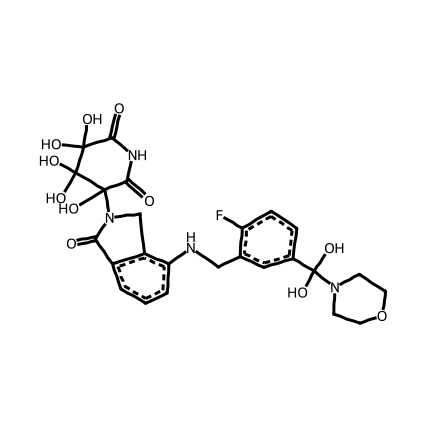 O=C1c2cccc(NCc3cc(C(O)(O)N4CCOCC4)ccc3F)c2CN1C1(O)C(=O)NC(=O)C(O)(O)C1(O)O